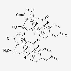 C[C@@H]1C[C@H]2[C@@H]3CCC4=CC(=O)C=C[C@]4(C)[C@H]3C(=O)C[C@]2(C)[C@H]1C(=O)C(=O)O.C[C@@H]1C[C@H]2[C@@H]3CCC4=CC(=O)CC[C@]4(C)[C@H]3C(=O)C[C@]2(C)[C@H]1C(=O)C(=O)O